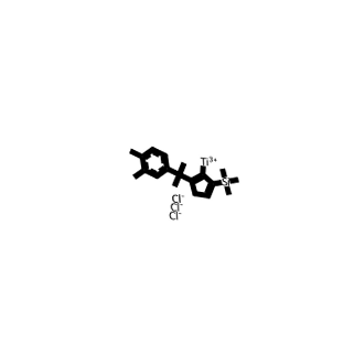 Cc1ccc(C(C)(C)C2=[C]([Ti+3])C([Si](C)(C)C)=CC2)cc1C.[Cl-].[Cl-].[Cl-]